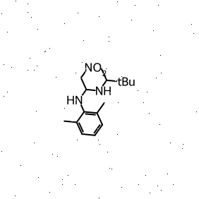 Cc1cccc(C)c1NC(C[N+](=O)[O-])NC(C)C(C)(C)C